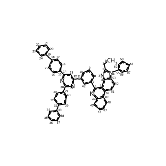 CCc1nc2c3c(-c4cccc(-c5cc(-c6ccc(-c7ccccc7)cc6)nc(-c6ccc(-c7ccccc7)cc6)n5)c4)nc4ccccc4c3ccc2n1-c1ccccc1